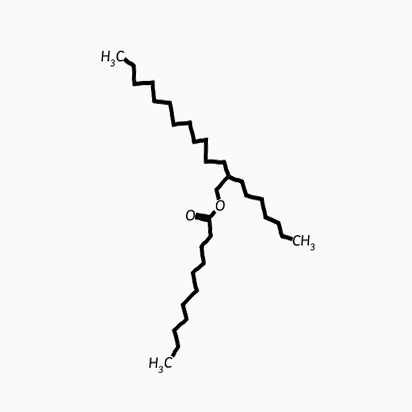 CCCCCCCCCCCCC(CCCCCCC)COC(=O)CCCCCCCCCC